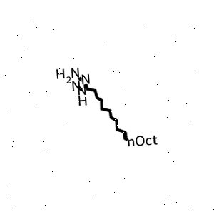 CCCCCCCCC=CCCCCCCCCc1nc(N)n[nH]1